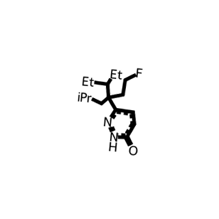 CCC(CC)C(CCF)(CC(C)C)c1ccc(=O)[nH]n1